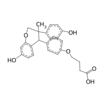 CC1(c2ccc(O)cc2)COc2cc(O)ccc2C1c1ccc(OCCCC(=O)O)cc1